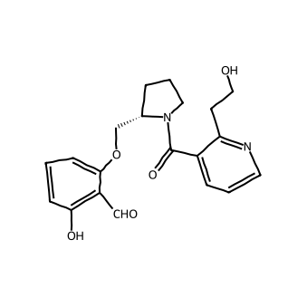 O=Cc1c(O)cccc1OC[C@@H]1CCCN1C(=O)c1cccnc1CCO